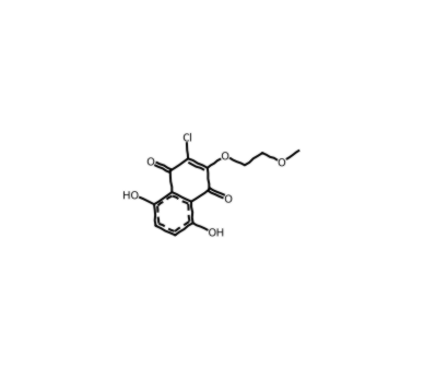 COCCOC1=C(Cl)C(=O)c2c(O)ccc(O)c2C1=O